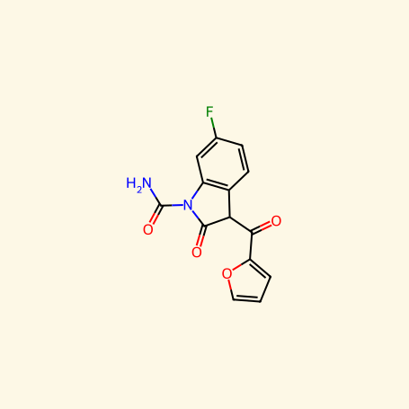 NC(=O)N1C(=O)C(C(=O)c2ccco2)c2ccc(F)cc21